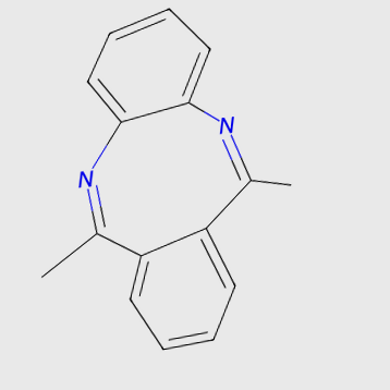 C/C1=N/c2ccccc2/N=C(/C)c2ccccc21